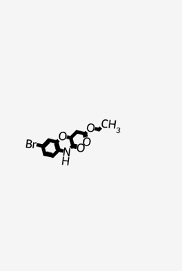 CCOC(=O)CC1Oc2cc(Br)ccc2NC1=O